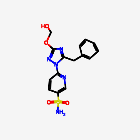 NS(=O)(=O)c1ccc(-n2nc(OCO)nc2Cc2ccccc2)nc1